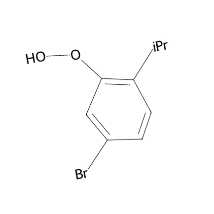 CC(C)c1ccc(Br)cc1OO